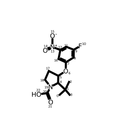 CC(C)(C)C1C(Oc2cc(F)cc([N+](=O)[O-])c2)CCN1C(=O)O